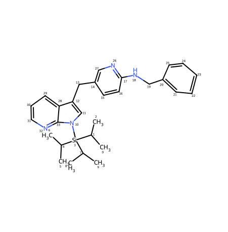 CC(C)[Si](C(C)C)(C(C)C)n1cc(Cc2ccc(NCc3ccccc3)nc2)c2cccnc21